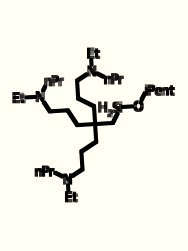 CCCC(C)O[SiH2]CC(CCCN(CC)CCC)(CCCN(CC)CCC)CCCN(CC)CCC